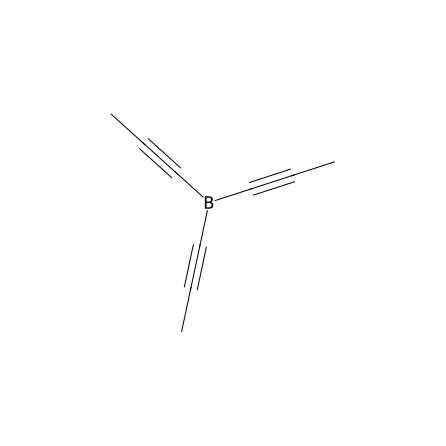 CC#CB(C#CC)C#CC